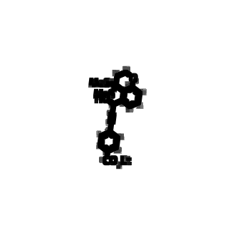 CCOC(=O)c1ccc(C#CC(O)c2cccc3c2C(SC)(SC)CCO3)cc1